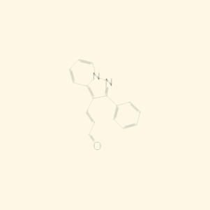 O=CC=Cc1c(-c2ccccc2)nn2ccccc12